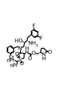 CCCC(CCC)S(=O)(=O)CC(NC(=O)OC[C@H]1CCC(=O)N1)C(=O)N(Cc1cccc(CC)c1)C[C@@H](O)[C@@H](N)Cc1cc(F)cc(F)c1